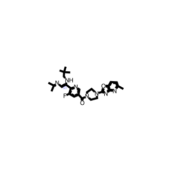 CC(C)=N/C=C(\NCC(C)(C)C)c1ncc(C(=O)N2CCN(c3nc4nc(C)ccc4o3)CC2)cc1F